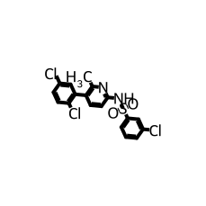 Cc1nc(NS(=O)(=O)c2cccc(Cl)c2)ccc1-c1cc(Cl)ccc1Cl